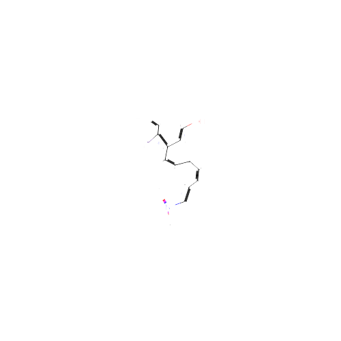 C=C/C(I)=C(/C=C\C/C=C\C=C\[N+](=O)[O-])\C=C\O